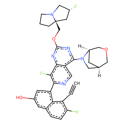 C#Cc1c(F)ccc2cc(O)cc(-c3ncc4c(N5C[C@@H]6COC[C@H]5C6)nc(OC[C@@]56CCCN5C[C@H](F)C6)nc4c3F)c12